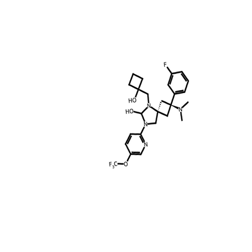 CN(C)[C@]1(c2cccc(F)c2)C[C@@]2(CN(c3ccc(OC(F)(F)F)cn3)C(O)N2CC2(O)CCC2)C1